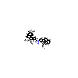 CCCCc1ccc2c3c(ccc2c1)C(C)(C)c1cc(C(CC)(CC)Nc2ccc4c(c2)C(C)(C)c2c-4ccc4ccccc24)ccc1-3